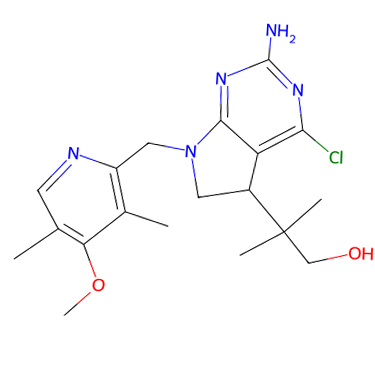 COc1c(C)cnc(CN2CC(C(C)(C)CO)c3c(Cl)nc(N)nc32)c1C